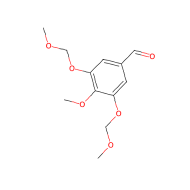 COCOc1cc(C=O)cc(OCOC)c1OC